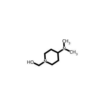 CN(C)C1CCN(CO)CC1